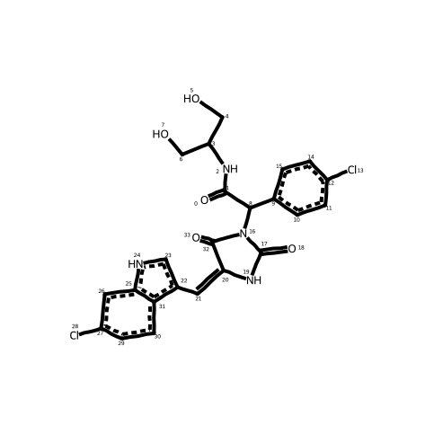 O=C(NC(CO)CO)C(c1ccc(Cl)cc1)N1C(=O)NC(=Cc2c[nH]c3cc(Cl)ccc23)C1=O